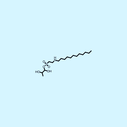 CCCCCCCCCCCCNCCS(=O)(=O)OC(O)C(C)O